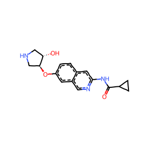 O=C(Nc1cc2ccc(O[C@H]3CNC[C@@H]3O)cc2cn1)C1CC1